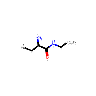 CCOC(=O)CNC(=O)C(N)CC(C)C